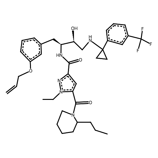 C=CCOc1cccc(C[C@H](NC(=O)c2cc(C(=O)N3CCCCC3CCC)n(CC)n2)[C@@H](O)CNC2(c3cccc(C(F)(F)F)c3)CC2)c1